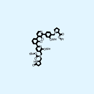 COc1cc(-c2nccc(-c3cccc(-c4ccc(CN(CC5CCC(=O)N5)C(=O)OC(C)(C)C)c(OC)n4)c3Cl)c2Cl)ccc1CN1CCCC1C(=O)OC(C)C